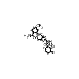 NC(=O)c1ccc(C(F)(F)F)cc1N1CCc2nc(NS(=O)(=O)c3cccc(Cl)c3Cl)sc2C1